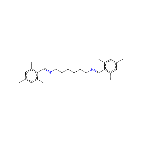 Cc1cc(C)c(C=NCCCCCCN=Cc2c(C)cc(C)cc2C)c(C)c1